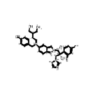 CCC(CC)CCN(Cc1ccc(Cl)cc1)c1ccc2nn([C@H](C)[C@](O)(Cn3cncn3)c3ccc(F)cc3F)cc2c1